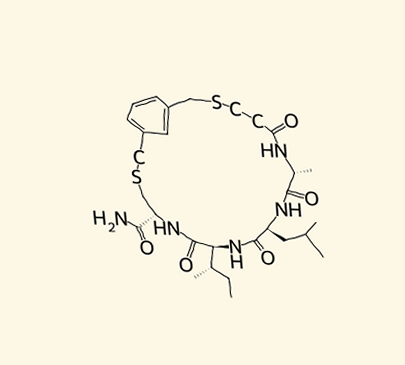 CC[C@H](C)[C@@H]1NC(=O)[C@H](CC(C)C)NC(=O)[C@@H](C)NC(=O)CCSCc2cccc(c2)CSC[C@@H](C(N)=O)NC1=O